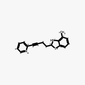 Cc1cccc2c1NC(CCC#Cc1ccccn1)S2